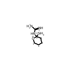 N=C(N)NC1([SiH3])CCCCO1